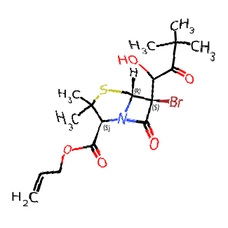 C=CCOC(=O)[C@@H]1N2C(=O)[C@@](Br)(C(O)C(=O)C(C)(C)C)[C@H]2SC1(C)C